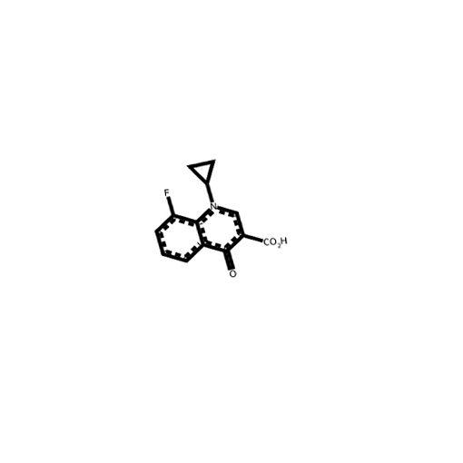 O=C(O)c1cn(C2CC2)c2c(F)cccc2c1=O